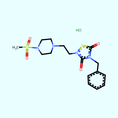 CS(=O)(=O)N1CCN(CCn2sc(=O)n(Cc3ccccc3)c2=O)CC1.Cl